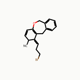 N#CC1C=CC2=C(Cc3ccccc3CO2)C1=CCCBr